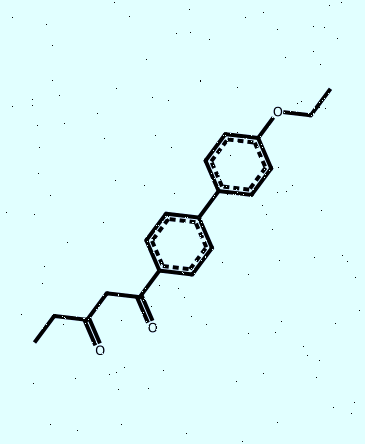 CCOc1ccc(-c2ccc(C(=O)CC(=O)CC)cc2)cc1